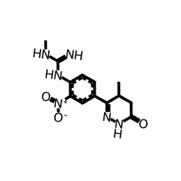 CNC(=N)Nc1ccc(C2=NNC(=O)CC2C)cc1[N+](=O)[O-]